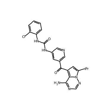 CC(C)c1cc(C(=O)c2cncc(NC(=O)Nc3ccccc3Cl)c2)c2c(N)ncnn12